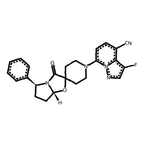 N#Cc1ccc(N2CCC3(CC2)O[C@@H]2CC[C@@H](c4ccccc4)N2C3=O)n2ncc(F)c12